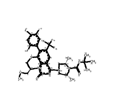 COC[C@H]1CSc2c(-c3cc(I)c(F)cc3F)c(C(F)(F)F)cc3c(N4C[C@@H](C)N(C(=O)OC(C)(C)C)[C@@H](C)C4)nc(=O)n1c23